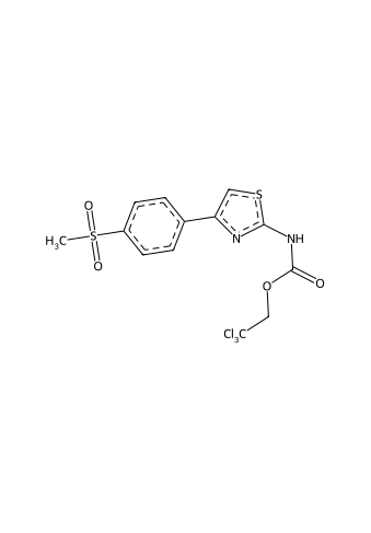 CS(=O)(=O)c1ccc(-c2csc(NC(=O)OCC(Cl)(Cl)Cl)n2)cc1